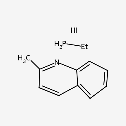 CCP.Cc1ccc2ccccc2n1.I